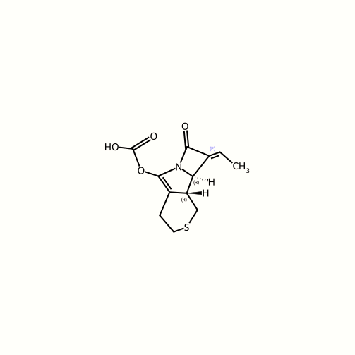 C/C=C1/C(=O)N2C(OC(=O)O)=C3CCSC[C@H]3[C@H]12